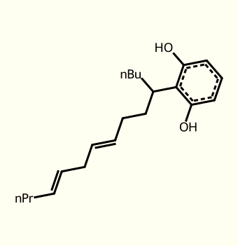 CCCC=CCC=CCCC(CCCC)c1c(O)cccc1O